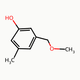 COCc1cc(C)cc(O)c1